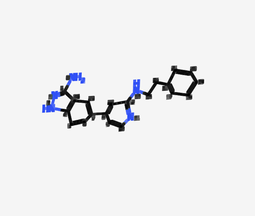 Nc1n[nH]c2ccc(-c3ccnc(NCCc4ccccc4)c3)cc12